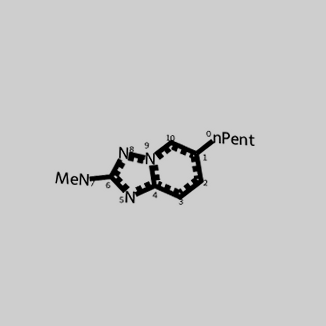 CCCCCc1ccc2nc(NC)nn2c1